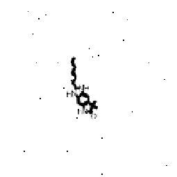 CCCC=CCC1Nc2cc3c(cc2N1)C(C)(C)C(=O)N3